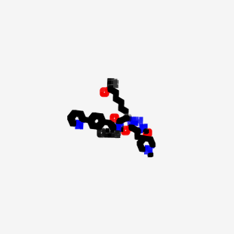 CCC(=O)CCCCC[C@H](NC(=O)C1=NOC2(CCN(C)CC2)C1)c1ncc(-c2ccc(-c3ccccn3)cc2OC)o1